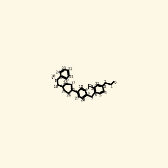 CCCc1ccc(Cc2ccc(C3CCC(C[C@H](C)c4ccccc4)CC3)cc2)c(F)c1